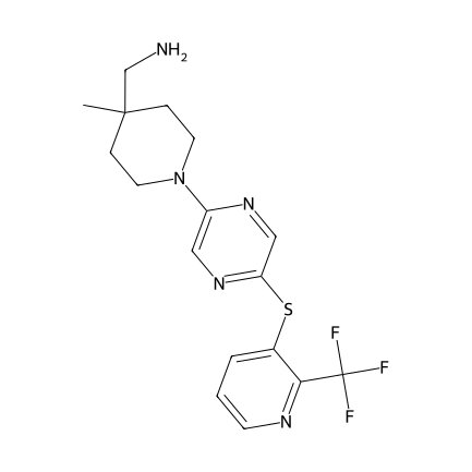 CC1(CN)CCN(c2cnc(Sc3cccnc3C(F)(F)F)cn2)CC1